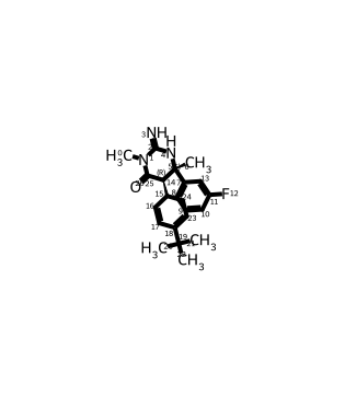 CN1C(=N)N[C@](C)(c2cccc(F)c2)[C@@H](C2C=CC(C(C)(C)C)=CC2)C1=O